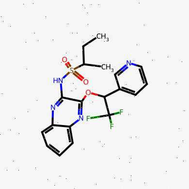 CCC(C)S(=O)(=O)Nc1nc2ccccc2nc1OC(c1cccnc1)C(F)(F)F